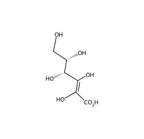 O=C(O)C(O)=C(O)[C@H](O)[C@@H](O)CO